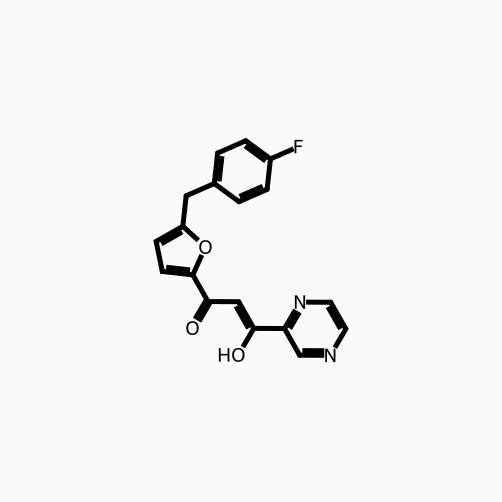 O=C(C=C(O)c1cnccn1)c1ccc(Cc2ccc(F)cc2)o1